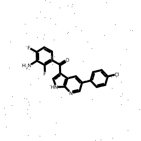 Nc1c(F)ccc(C(=O)c2c[nH]c3ncc(-c4ccc(Cl)cc4)cc23)c1F